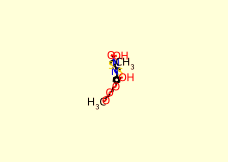 COCCOCCOc1ccc(C2=NC(C3SC[C@H](C(=O)O)N3C)CS2)c(O)c1